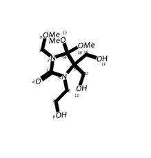 COCN1C(=O)N(CCO)C(CO)(CO)C1(OC)OC